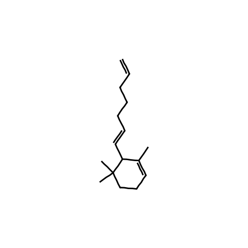 C=CCCCC=CC1C(C)=CCCC1(C)C